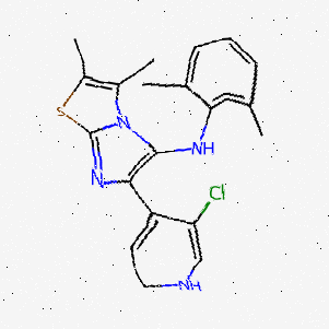 Cc1cccc(C)c1Nc1c(C2=CCNC=C2Cl)nc2sc(C)c(C)n12